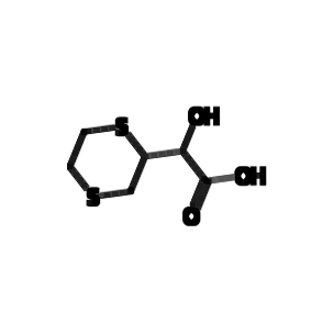 O=C(O)C(O)C1CSCCS1